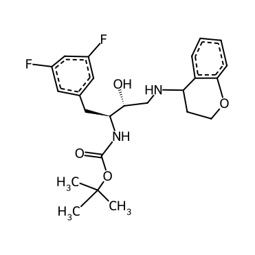 CC(C)(C)OC(=O)N[C@@H](Cc1cc(F)cc(F)c1)[C@H](O)CNC1CCOc2ccccc21